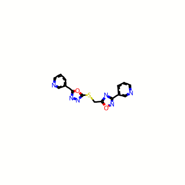 c1cncc(-c2noc(CSc3nnc(-c4cccnc4)o3)n2)c1